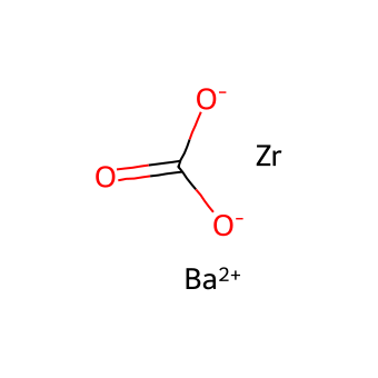 O=C([O-])[O-].[Ba+2].[Zr]